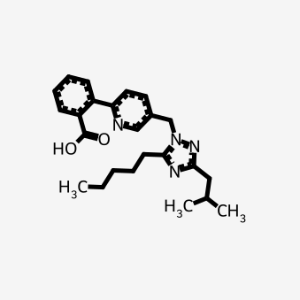 CCCCCc1nc(CC(C)C)nn1Cc1ccc(-c2ccccc2C(=O)O)nc1